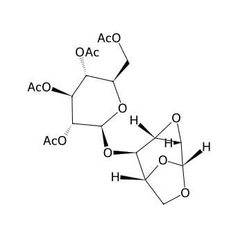 CC(=O)OC[C@H]1O[C@@H](O[C@H]2[C@@H]3O[C@@H]3[C@@H]3OC[C@H]2O3)[C@H](OC(C)=O)[C@@H](OC(C)=O)[C@@H]1OC(C)=O